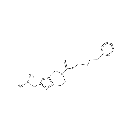 CN(C)Cc1cc2c(o1)CCN(C(=O)OCCCCc1ccccc1)C2